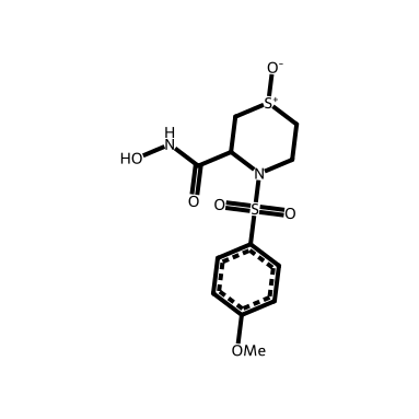 COc1ccc(S(=O)(=O)N2CC[S+]([O-])CC2C(=O)NO)cc1